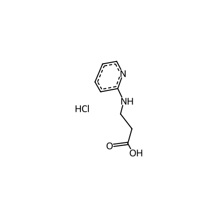 Cl.O=C(O)CCNc1ccccn1